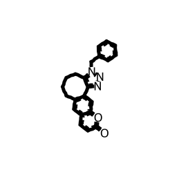 O=c1ccc2cc3c(cc2o1)-c1nnn(Cc2ccccc2)c1CCCC3